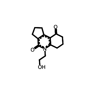 O=C1CCCc2c1c1c(c(=O)n2CCO)CCC1